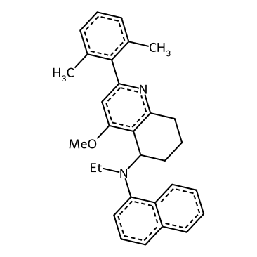 CCN(c1cccc2ccccc12)C1CCCc2nc(-c3c(C)cccc3C)cc(OC)c21